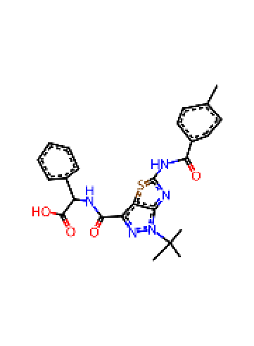 Cc1ccc(C(=O)Nc2nc3c(s2)c(C(=O)NC(C(=O)O)c2ccccc2)nn3C(C)(C)C)cc1